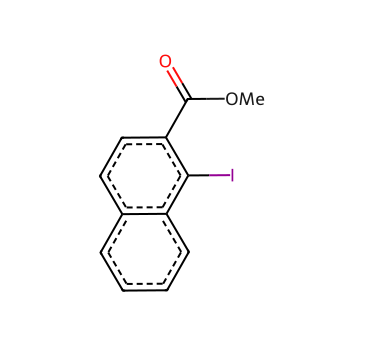 COC(=O)c1ccc2ccccc2c1I